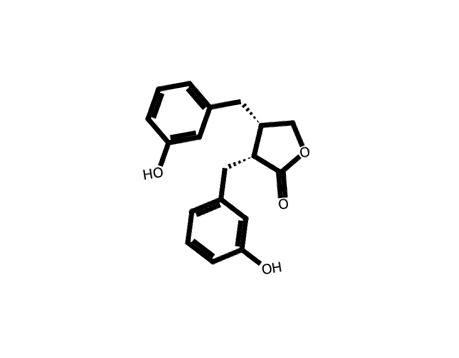 O=C1OC[C@@H](Cc2cccc(O)c2)[C@H]1Cc1cccc(O)c1